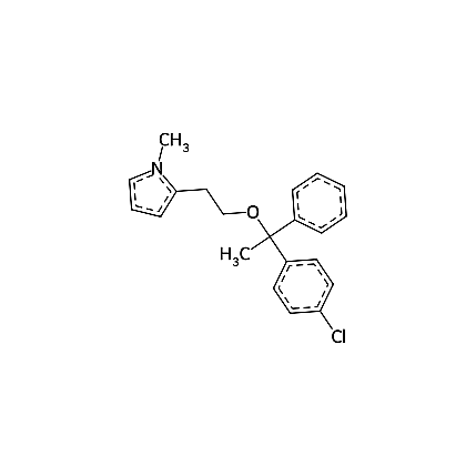 Cn1cccc1CCOC(C)(c1ccccc1)c1ccc(Cl)cc1